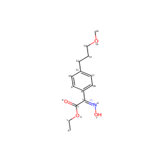 CCOC(=O)/C(=N\O)c1ccc(CCCOC)cc1